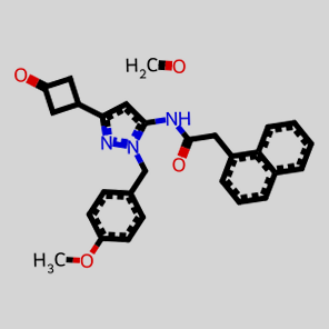 C=O.COc1ccc(Cn2nc(C3CC(=O)C3)cc2NC(=O)Cc2cccc3ccccc23)cc1